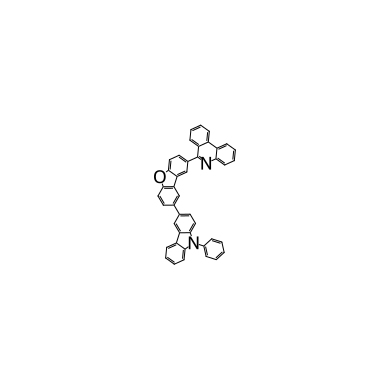 c1ccc(-n2c3ccccc3c3cc(-c4ccc5oc6ccc(-c7nc8ccccc8c8ccccc78)cc6c5c4)ccc32)cc1